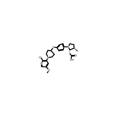 COc1cnc(Cl)c(N2CCC(Oc3ccc(N4CC[C@@H](C)[C@@H]4CC(=O)O)cc3)CC2)c1